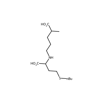 CCCCSCCC(NCCCC(C)C(=O)O)C(=O)O